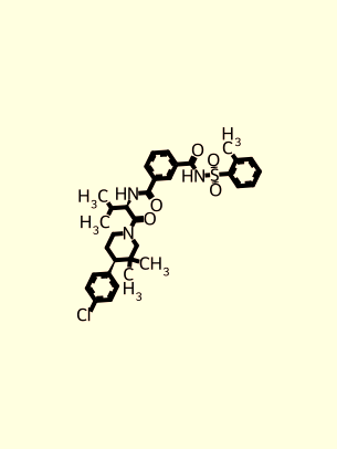 Cc1ccccc1S(=O)(=O)NC(=O)c1cccc(C(=O)N[C@@H](C(=O)N2CC[C@H](c3ccc(Cl)cc3)C(C)(C)C2)C(C)C)c1